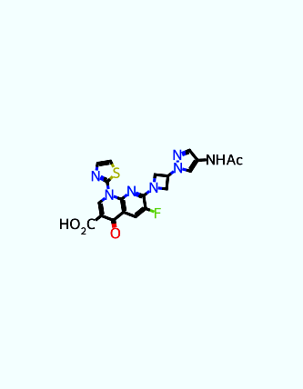 CC(=O)Nc1cnn(C2CN(c3nc4c(cc3F)c(=O)c(C(=O)O)cn4-c3nccs3)C2)c1